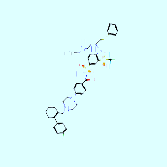 CC(C)CNCC[C@H](CSc1ccccc1)Nc1ccc(S(=O)(=O)NC(=O)c2ccc(N3CCN(CC4=C(c5ccc(Cl)cc5)CCCC4)CC3)cc2)cc1S(=O)(=O)C(F)(F)Cl